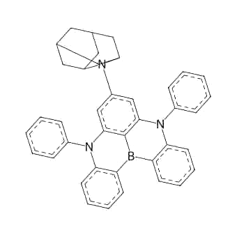 c1ccc(N2c3ccccc3B3c4ccccc4N(c4ccccc4)c4cc(N5C6CC7CC(C6)CC5C7)cc2c43)cc1